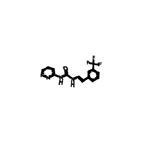 O=C(N/C=C/c1cccc(C(F)(F)F)c1)Nc1cccnn1